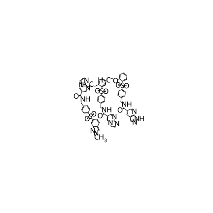 CCOc1ccccc1S(=O)(=O)c1ccc(CNC(=O)c2cnc3[nH]ncc3c2)cc1.CCc1ccccc1S(=O)(=O)c1ccc(CNC(=O)c2cnc3nccn3c2)cc1.Cn1cc2ccc(S(=O)(=O)c3ccc(CNC(=O)c4cnc5nccn5c4)cc3)cc2n1